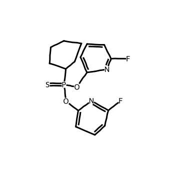 Fc1cccc(OP(=S)(Oc2cccc(F)n2)C2CCCCC2)n1